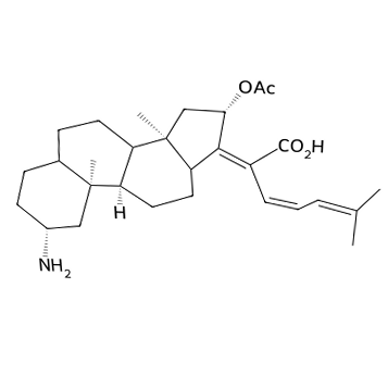 CC(=O)O[C@H]1C[C@@]2(C)C(CC[C@@H]3C2CCC2CC[C@@H](N)C[C@@]23C)/C1=C(\C=C/C=C(C)C)C(=O)O